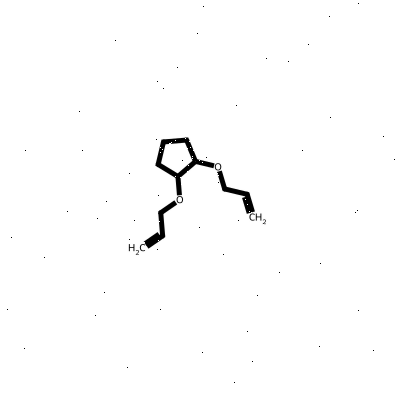 C=CCOC1CCCC1OCC=C